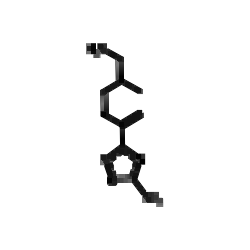 C=C(/C=C\C(C)=C/N)c1noc(N)n1